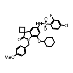 COc1ccc(CN2C(=O)C3(CCC3)c3cc(NS(=O)(=O)c4ccc(Cl)cc4F)cc(OC4CCCCC4)c32)cc1